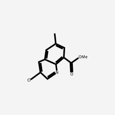 COC(=O)c1cc(C)cc2cc(Cl)cnc12